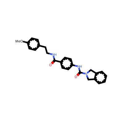 COc1ccc(CCNC(=O)c2ccc(NC(=O)N3Cc4ccccc4C3)cc2)cc1